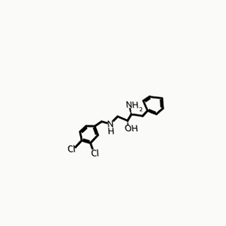 N[C@@H](Cc1ccccc1)[C@H](O)CNCc1ccc(Cl)c(Cl)c1